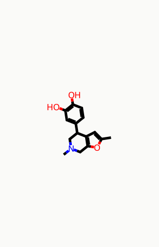 Cc1cc2c(o1)CN(C)CC2c1ccc(O)c(O)c1